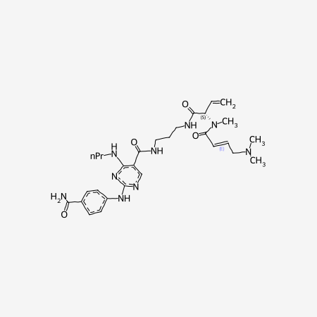 C=C[C@@H](C(=O)NCCCNC(=O)c1cnc(Nc2ccc(C(N)=O)cc2)nc1NCCC)N(C)C(=O)/C=C/CN(C)C